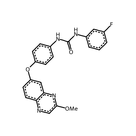 COc1cnc2ccc(Oc3ccc(NC(=O)Nc4cccc(F)c4)cc3)cc2n1